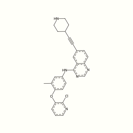 Cc1cc(Nc2ncnc3ccc(C#CC4CCNCC4)cc23)ccc1Oc1cccnc1Cl